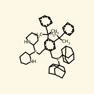 CC(C)(c1ccccc1)c1cc(CP(C2CCCCN2)C2CCCCN2)c(CP(C23CC4CC(CC(C4)C2)C3)C23CC4CC(CC(C4)C2)C3)cc1C(C)(C)c1ccccc1